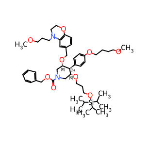 COCCCCOc1ccc([C@@H]2[C@@H](OCc3ccc4c(c3)N(CCCOC)CCO4)CN(C(=O)OCc3ccccc3)C[C@H]2OCCCO[Si](C(C)C)(C(C)C)C(C)C)cc1